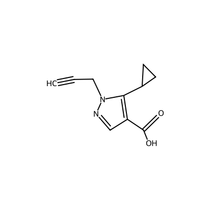 C#CCn1ncc(C(=O)O)c1C1CC1